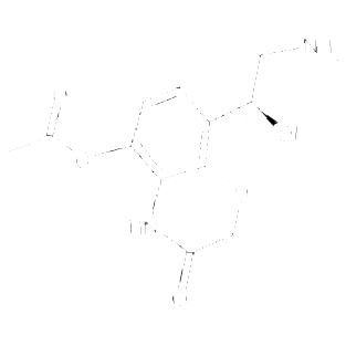 CC(=O)Oc1ccc([C@H](O)CN)c2c1NC(=O)CO2